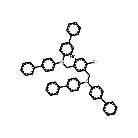 Brc1cc(Br)c(CN(c2ccc(-c3ccccc3)cc2)c2ccc(-c3ccccc3)cc2)cc1CN(c1ccc(-c2ccccc2)cc1)c1ccc(-c2ccccc2)cc1